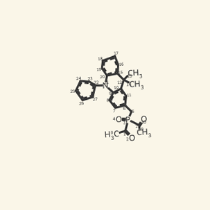 CC(=O)P(=O)(Cc1ccc2c(c1)C(C)(C)c1ccccc1N2c1ccccc1)C(C)=O